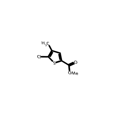 COC(=O)c1cc(C)c(Cl)s1